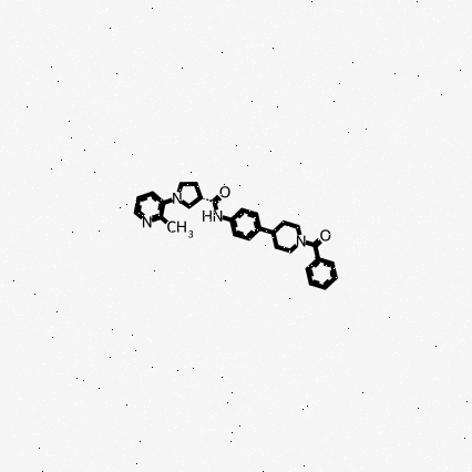 Cc1ncccc1N1CC[C@H](C(=O)Nc2ccc(C3CCN(C(=O)c4ccccc4)CC3)cc2)C1